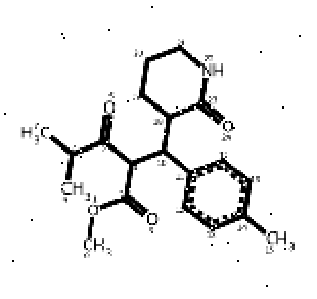 COC(=O)C(C(=O)C(C)C)C(c1ccc(C)cc1)C1CCCNC1=O